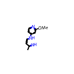 COc1cc(N/C=C\C(C)=N)ccn1